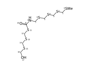 CSCSCSCSCNC(=O)SCSCSCO